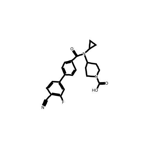 N#Cc1ccc(-c2ccc(C(=O)N(C3CC3)C3CCN(C(=O)O)CC3)cc2)cc1F